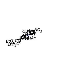 CCOC(=O)CN(CC(=O)OCC)c1ccc(/N=N/c2cc(F)c([N+](=O)[O-])cc2[N+](=O)[O-])c(NC(C)=O)c1